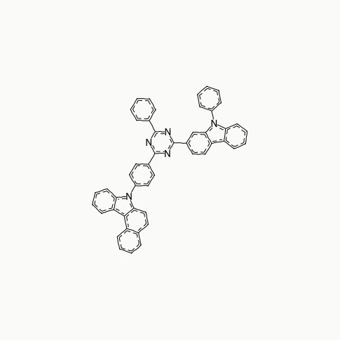 c1ccc(-c2nc(-c3ccc(-n4c5ccccc5c5c6ccccc6ccc54)cc3)nc(-c3ccc4c5ccccc5n(-c5ccccc5)c4c3)n2)cc1